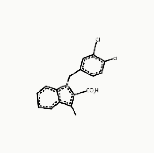 Cc1c(C(=O)O)n(Cc2ccc(Cl)c(Cl)c2)c2ccccc12